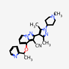 Cc1nn(C2CCN(C)CC2)c(C)c1-c1nn2cccc(O[C@H](C)c3ccccn3)c2c1C#N